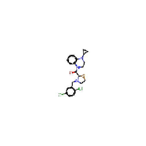 O=C(C1SCCN1Cc1cc(Cl)ccc1Cl)N1CCN(C2CC2)c2ccccc21